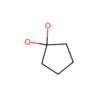 [O]C1([O])CCCC1